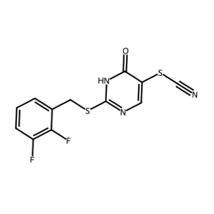 N#CSc1cnc(SCc2cccc(F)c2F)[nH]c1=O